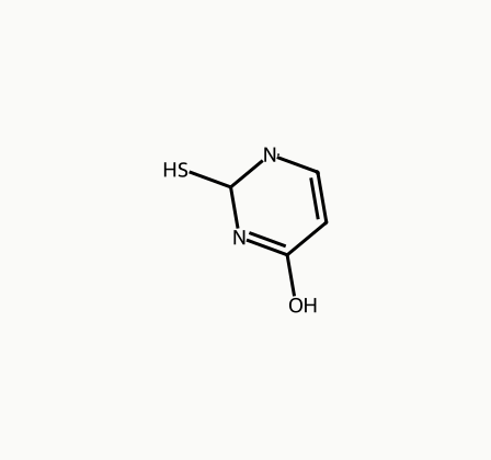 OC1=NC(S)[N]C=C1